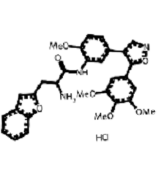 COc1ccc(-c2cnoc2-c2cc(OC)c(OC)c(OC)c2)cc1NC(=O)C(N)Cc1cc2ccccc2o1.Cl